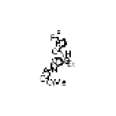 CCOc1cc2nc(C3(CC(=O)OC)CC3)cn2cc1NC(=O)c1cccc(C(F)F)n1